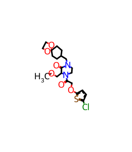 COCC1C(=O)N(CC2CCC3(CC2)OCCO3)CCN1C(=O)COc1ccc(Cl)s1